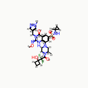 CO/N=c1\[nH]c2c(N3CCN(C(=O)C(F)(F)C4(O)CCC4)[C@H](C)C3)cc(S(=O)(=O)NC3(C)CC3)cc2c(=O)n1Cc1cnn(C)c1